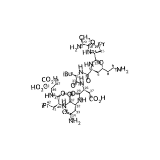 CC[C@H](C)[C@H](NC(=O)[C@H](CCCCN)NC(=O)[C@H](CC(C)C)NC(=O)[C@H](C)N)C(=O)N[C@@H](CC(=O)O)C(=O)N[C@@H](CC(N)=O)C(=O)N[C@@H](CC(C)C)C(=O)N[C@@H](CC(=O)O)C(=O)O